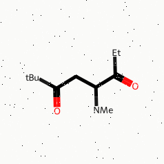 CCC(=O)C(CC(=O)C(C)(C)C)NC